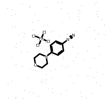 N#[N+]c1ccc(N2CCOCC2)cc1.[Cl][Fe-]([Cl])([Cl])[Cl]